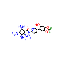 Nc1cc(N)c(C(=O)Nc2ccc(-c3cc4c(cc3O)OC(F)(F)O4)cn2)c(N)c1N